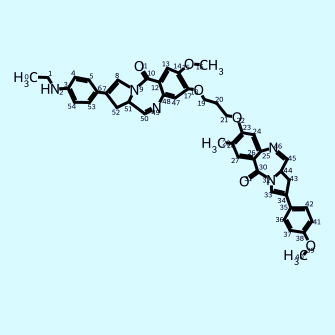 CCNc1ccc(C2=CN3C(=O)c4cc(OC)c(OCCCOc5cc6c(cc5C)C(=O)N5C=C(c7ccc(OC)cc7)CC5C=N6)cc4N=CC3C2)cc1